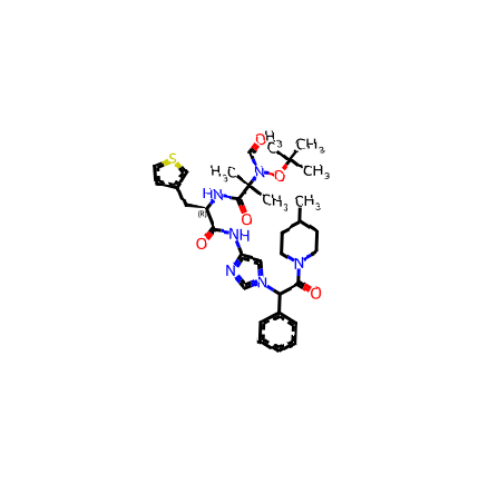 CC1CCN(C(=O)C(c2ccccc2)n2cnc(NC(=O)[C@@H](Cc3ccsc3)NC(=O)C(C)(C)N(C=O)OC(C)(C)C)c2)CC1